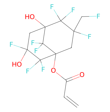 C=CC(=O)OC12CC(F)(CF)C(F)(F)C(O)(CC(O)(F)C1(F)F)C2(F)F